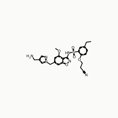 CCc1ccc(OCCC#N)c(S(=O)(=O)Nc2noc3cc(Cn4cc(CN)cn4)cc(OC)c23)c1